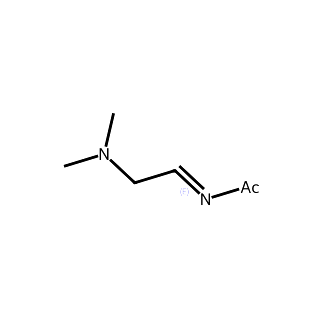 CC(=O)/N=C/CN(C)C